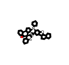 c1ccc(N(c2ccc3c(c2)C2(c4ccccc4Sc4ccccc42)c2cccc4cccc-3c24)c2ccc3c(c2)oc2c4ccccc4ccc32)cc1